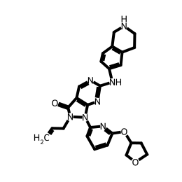 C=CCn1c(=O)c2cnc(Nc3ccc4c(c3)CCNC4)nc2n1-c1cccc(OC2CCOC2)n1